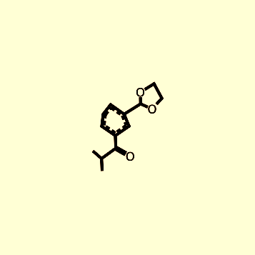 CC(C)C(=O)c1cccc(C2OCCO2)c1